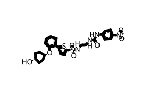 O=C(NCCNS(=O)(=O)c1ccc(-c2ccccc2O[C@H]2CC[C@@H](O)CC2)s1)Nc1ccc([N+](=O)[O-])cc1